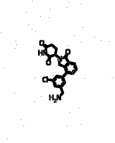 NCc1cc(Cl)cc(-c2cccc3c2CN(C2CCC(=O)NC2=O)C3=O)c1